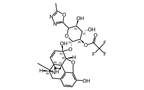 Cc1nnc(C2O[C@@H](O[C@@]3(O)C=C[C@H]4[C@H]5Cc6ccc(O)c7c6[C@@]4(CCN5C)[C@H]3O7)[C@H](OC(=O)C(F)(F)F)[C@@H](O)[C@@H]2O)o1